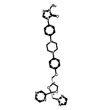 CCC(C)n1ncn(-c2ccc(N3CCN(c4ccc(OC[C@@H]5CO[C@@](Cn6nccn6)(c6cnccn6)O5)cc4)CC3)cc2)c1=O